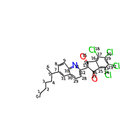 CCCCCC(C)c1ccc2nc(C3C(=O)c4c(Cl)c(Cl)c(Cl)c(Cl)c4C3=O)ccc2c1